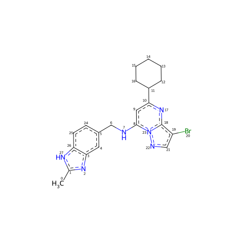 Cc1nc2cc(CNc3cc(C4CCCCC4)nc4c(Br)cnn34)ccc2[nH]1